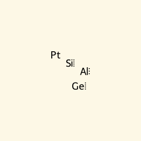 [Al].[Ge].[Pt].[Si]